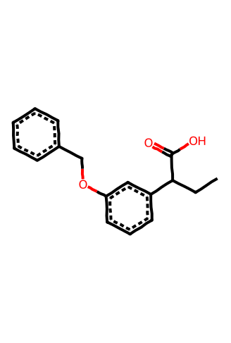 CCC(C(=O)O)c1cccc(OCc2ccccc2)c1